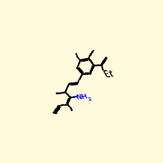 C=C/C(C)=C(/N)C(C)C=Cc1cc(C)c(C)c(C(=C)CC)c1